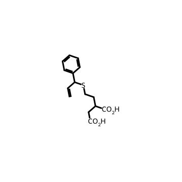 C=CC(SCCC(CC(=O)O)C(=O)O)c1ccccc1